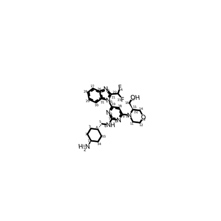 N[C@H]1CC[C@H](CNc2nc(N3CCOC[C@@H]3CO)cc(-n3c(C(F)F)nc4ccccc43)n2)CC1